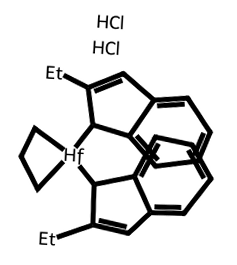 CCC1=Cc2ccccc2[CH]1[Hf]1([CH]2C(CC)=Cc3ccccc32)[CH2]C[CH2]1.Cl.Cl